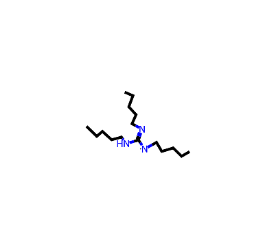 CCCCC[N]C(=NCCCCC)NCCCCC